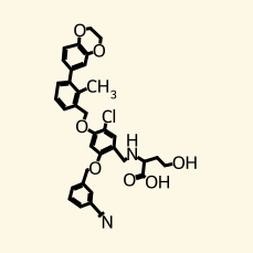 Cc1c(COc2cc(OCc3cccc(C#N)c3)c(CNC(CCO)C(=O)O)cc2Cl)cccc1-c1ccc2c(c1)OCCO2